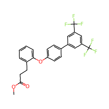 COC(=O)CCc1ccccc1Oc1ccc(-c2cc(C(F)(F)F)cc(C(F)(F)F)c2)cc1